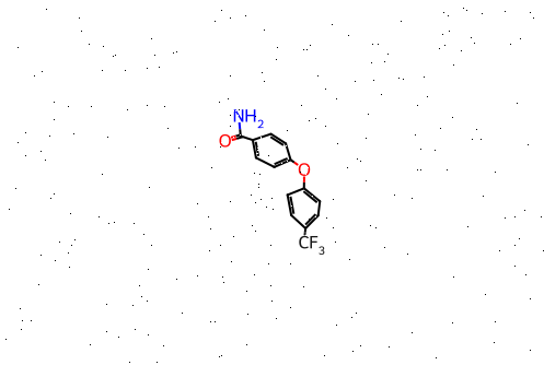 NC(=O)c1ccc(Oc2ccc(C(F)(F)F)cc2)cc1